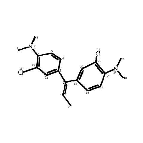 CC=C(c1ccc(N(C)C)c(Cl)c1)c1ccc(N(C)C)c(Cl)c1